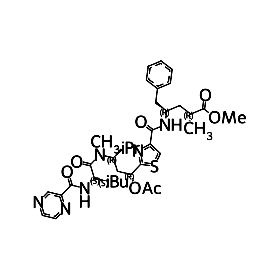 CC[C@H](C)[C@H](NC(=O)c1cnccn1)C(=O)N(C)[C@H](C[C@@H](OC(C)=O)c1nc(C(=O)N[C@@H](Cc2ccccc2)C[C@@H](C)C(=O)OC)cs1)C(C)C